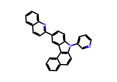 c1cncc(-n2c3ccc(-c4ccc5ccccc5n4)cc3c3c4ccccc4ccc32)c1